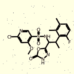 COc1cc(Cl)ncc1S(=O)(=O)NC(c1n[nH]c(=O)o1)C(C)c1c(F)ccc(C)c1C